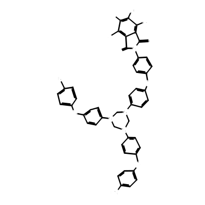 Nc1ccc(Oc2ccc(N3CN(c4ccc(Oc5ccc(N)cc5)cc4)CN(c4ccc(Oc5ccc(N6C(=O)c7c(Br)c(Br)c(Br)c(Br)c7C6=O)cc5)cc4)C3)cc2)cc1